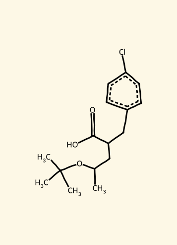 CC(CC(Cc1ccc(Cl)cc1)C(=O)O)OC(C)(C)C